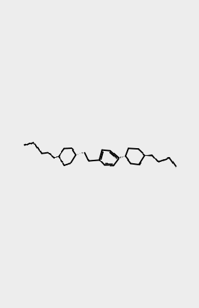 CCCCC[C@H]1CC[C@H](CCc2ccc([C@H]3CC[C@H](CCCC)CC3)cc2)CC1